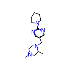 CC1CN(C)CCN1Cc1cnc(N2CCCCC2)nc1